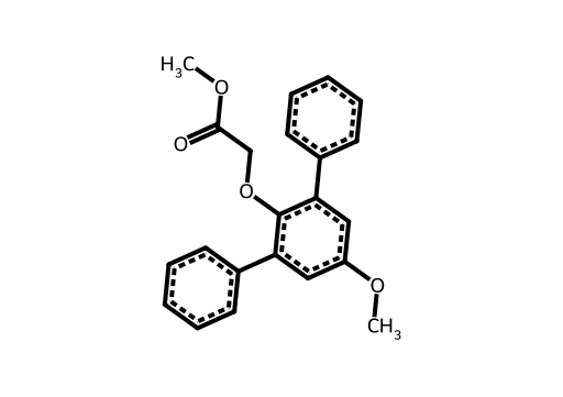 COC(=O)COc1c(-c2ccccc2)cc(OC)cc1-c1ccccc1